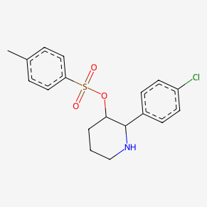 Cc1ccc(S(=O)(=O)OC2CCCNC2c2ccc(Cl)cc2)cc1